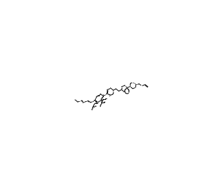 C=CCCC1CCC(C2CCC(CCC3CC=C(c4ccc(CCCCCC)c(F)c4F)CC3)CO2)CC1